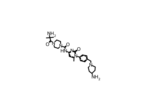 Cc1cc(NC(=O)N2CCN(C(=O)C(C)(C)N)CC2)nc(=O)n1-c1ccc(CN2CCC(N)CC2)cc1